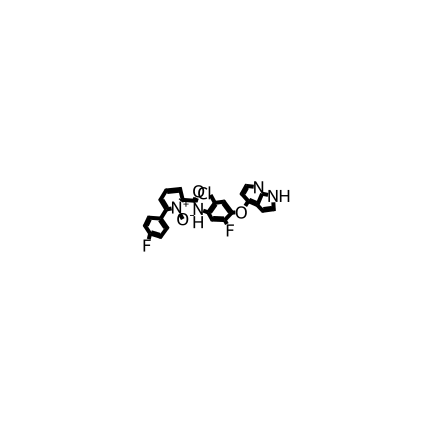 O=C(Nc1cc(F)c(Oc2ccnc3[nH]ccc23)cc1Cl)c1cccc(-c2ccc(F)cc2)[n+]1[O-]